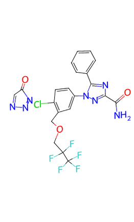 NC(=O)c1nc(-c2ccccc2)n(-c2ccc(Cl)c(COCC(F)(F)C(F)(F)F)c2)n1.O=C1C=NN=N1